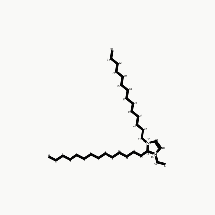 CCCCCCCCCCCCCCC1N(CC)C=CN1CCCCCCCCCCCCCC